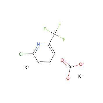 FC(F)(F)c1cccc(Cl)n1.O=C([O-])[O-].[K+].[K+]